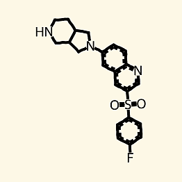 O=S(=O)(c1ccc(F)cc1)c1cnc2ccc(N3CC4CCNCC4C3)cc2c1